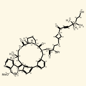 CCn1c(-c2cccnc2[C@H](C)OC)c2c3cc(ccc31)-c1cccc(c1)C[C@H](NC(=O)[C@@H](COC1CN(C(=O)C#CC(C)(C)N(C)CCO)C1)C(C)C)C(=O)N1CCC[C@H](N1)C(=O)OCC(C)(C)C2